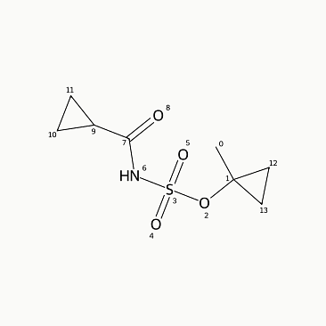 CC1(OS(=O)(=O)NC(=O)C2CC2)CC1